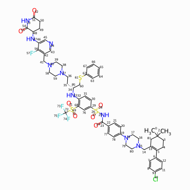 CC1(C)CCC(c2ccc(Cl)cc2)=C(CN2CCN(c3ccc(C(=O)NS(=O)(=O)c4ccc(N[C@H](CCN5CCN(Cc6cncc(NC7CCC(=O)NC7=O)c6F)CC5)CSc5ccccc5)c(S(=O)(=O)C(F)(F)F)c4)cc3)CC2)C1